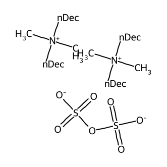 CCCCCCCCCC[N+](C)(C)CCCCCCCCCC.CCCCCCCCCC[N+](C)(C)CCCCCCCCCC.O=S(=O)([O-])OS(=O)(=O)[O-]